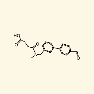 CN(Cc1cccc(-c2ccc(C=O)cc2)c1)C(=O)CNC(=O)O